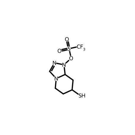 O=S(=O)(ON1N=CN2CCC(S)CC21)C(F)(F)F